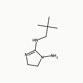 CC(C)(C)CNC1=NCCN1N